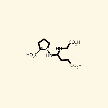 O=C(O)CCC(NCC(=O)O)NN1CCC[C@H]1C(=O)O